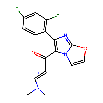 CN(C)/C=C/C(=O)c1c(-c2ccc(F)cc2F)nc2occn12